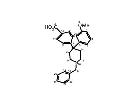 COc1cccc(C2(c3ccc(C(=O)O)cc3)CCN(Cc3ccccc3)CC2)c1